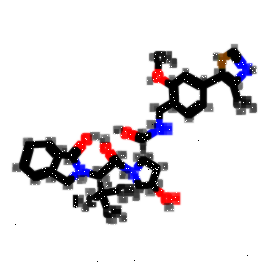 COc1cc(-c2scnc2C)ccc1CNC(=O)[C@@H]1C[C@@H](O)CN1C(=O)[C@@H](N1Cc2ccccc2C1=O)C(C)(C)C